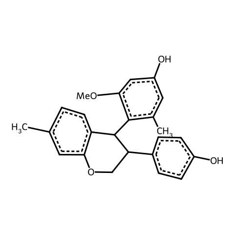 COc1cc(O)cc(C)c1C1c2ccc(C)cc2OCC1c1ccc(O)cc1